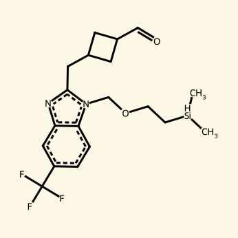 C[SiH](C)CCOCn1c(CC2CC(C=O)C2)nc2cc(C(F)(F)F)ccc21